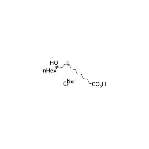 CCCCCC[C@@H](O)C/C=C\CCCCCCCC(=O)O.[Cl-].[Na+]